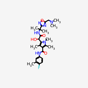 Cc1cc(NC(=O)c2c(C)c(C(O)C(=O)NC(C)(C)c3noc(CN(C)C)n3)n(C)c2C)ccc1F